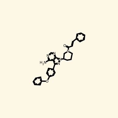 Nc1ncnc2c1c(-c1ccc(Oc3ccccc3)cc1)nn2C1CCCN(C(=O)C=Cc2ccccc2)C1